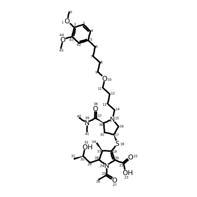 COc1ccc(CCCCOCCCCN2C[C@@H](SC3=C(C(=O)O)N(C(C)=O)C(C[C@@H](C)O)[C@H]3C)C[C@H]2C(=O)N(C)C)cc1OC